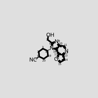 N#C[C@H]1CC[C@H](n2c(CO)nc3cnc4ccoc4c32)CC1